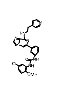 COc1ccc(Cl)cc1NC(=O)Nc1cccc(-c2cn3ccnc3c(NCCc3ccncc3)n2)c1